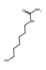 NC(=O)NCCCCCCO